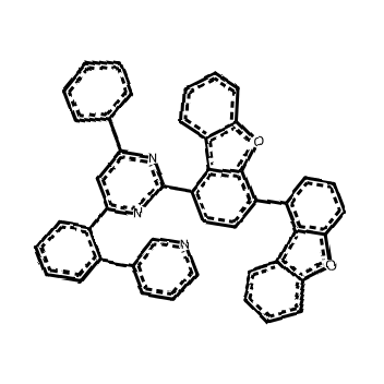 c1ccc(-c2cc(-c3ccccc3-c3cccnc3)nc(-c3ccc(-c4cccc5oc6ccccc6c45)c4oc5ccccc5c34)n2)cc1